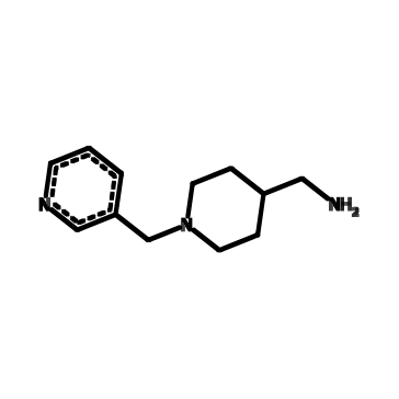 NCC1CCN(Cc2cccnc2)CC1